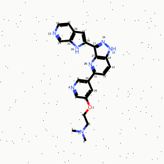 CN(C)CCOc1cncc(-c2ccc3[nH]nc(-c4cc5ccncc5[nH]4)c3n2)c1